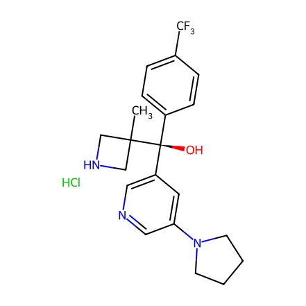 CC1([C@](O)(c2ccc(C(F)(F)F)cc2)c2cncc(N3CCCC3)c2)CNC1.Cl